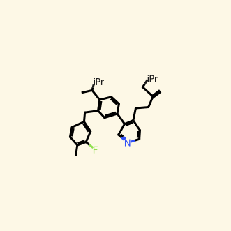 C=C(CCc1ccncc1-c1ccc(C(C)C(C)C)c(Cc2ccc(C)c(F)c2)c1)CC(C)C